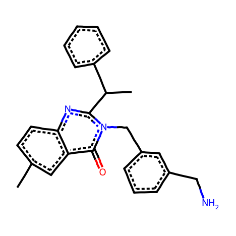 Cc1ccc2nc(C(C)c3ccccc3)n(Cc3cccc(CN)c3)c(=O)c2c1